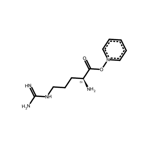 N=C(N)NCCC[C@H](N)C(=O)O[n+]1ccccc1